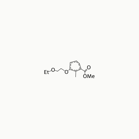 CCOCCOc1cccc(C(=O)OC)c1C